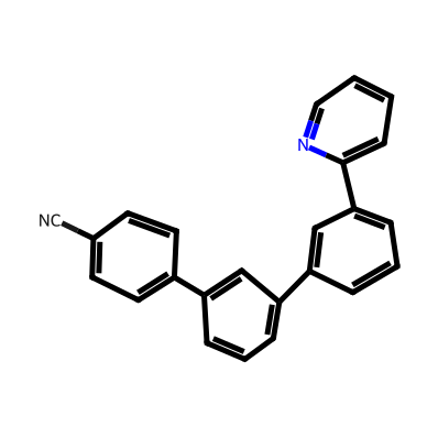 N#Cc1ccc(-c2cccc(-c3cccc(-c4ccccn4)c3)c2)cc1